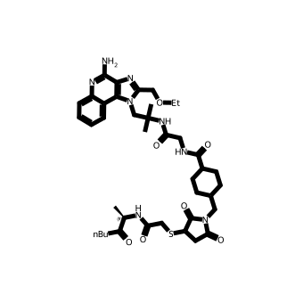 CCCCC(=O)[C@@H](C)NC(=O)CSC1CC(=O)N(CC2CCC(C(=O)NCC(=O)NC(C)(C)Cn3c(COCC)nc4c(N)nc5ccccc5c43)CC2)C1=O